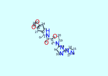 CC(NC(=O)C1CN(c2ccnc(-n3ccnc3)n2)CCO1)c1ccc2c(c1)OCO2